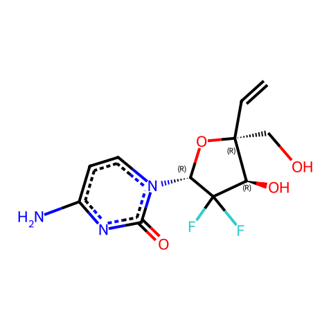 C=C[C@]1(CO)O[C@@H](n2ccc(N)nc2=O)C(F)(F)[C@@H]1O